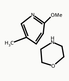 C1COCCN1.COc1ccc(C)cn1